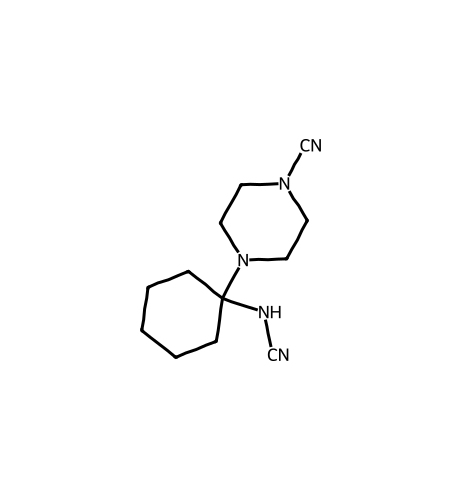 N#CNC1(N2CCN(C#N)CC2)CCCCC1